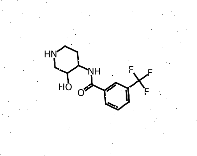 O=C(NC1CCNCC1O)c1cccc(C(F)(F)F)c1